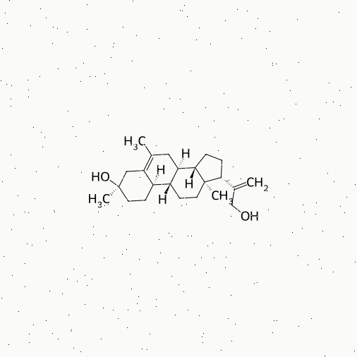 C=C(CO)[C@H]1CC[C@H]2[C@@H]3CC(C)=C4C[C@](C)(O)CC[C@@H]4[C@H]3CC[C@]12C